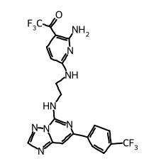 Nc1nc(NCCNc2nc(-c3ccc(C(F)(F)F)cc3)cc3ncnn23)ccc1C(=O)C(F)(F)F